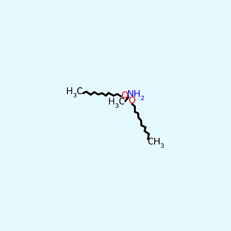 CCCCCCCCCCCCOC(N)(CC)OCCCCCCCCCCCC